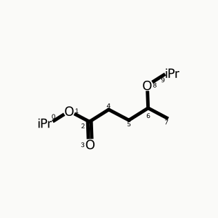 CC(C)OC(=O)CCC(C)OC(C)C